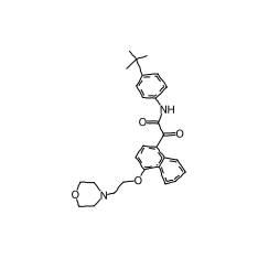 CC(C)(C)c1ccc(NC(=O)C(=O)c2ccc(OCCN3CCOCC3)c3ccccc23)cc1